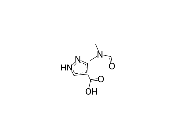 CN(C)C=O.O=C(O)c1cn[nH]c1